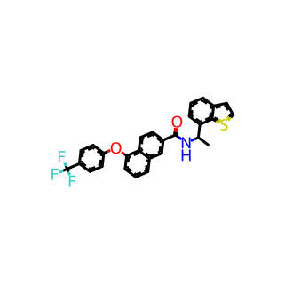 CC(NC(=O)c1ccc2c(Oc3ccc(C(F)(F)F)cc3)cccc2c1)c1cccc2ccsc12